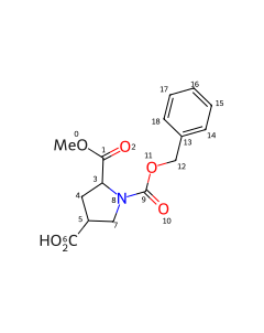 COC(=O)C1CC(C(=O)O)CN1C(=O)OCc1ccccc1